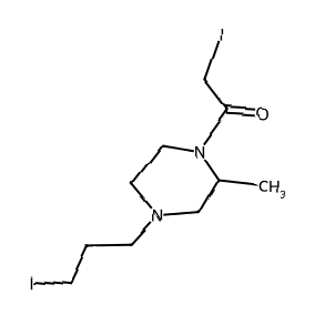 CC1CN(CCCI)CCN1C(=O)CI